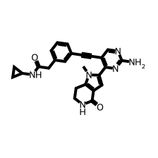 Cn1c(-c2nc(N)ncc2C#Cc2cccc(CC(=O)NC3CC3)c2)cc2c1CCNC2=O